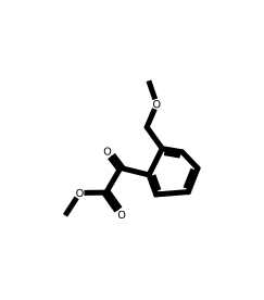 COCc1ccccc1C(=O)C(=O)OC